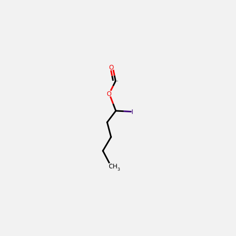 CCCCC(I)O[C]=O